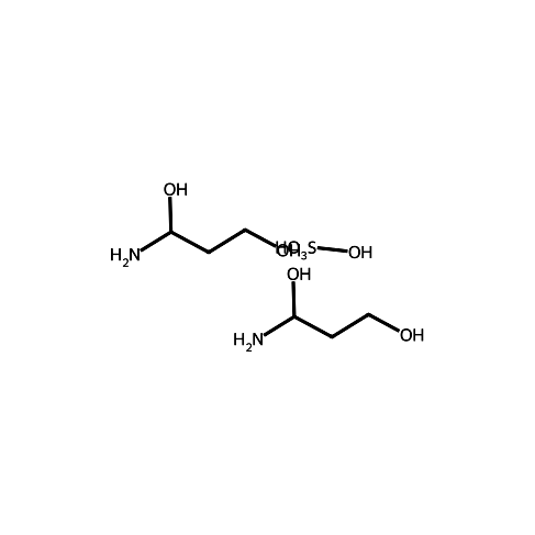 NC(O)CCO.NC(O)CCO.O=S(=O)(O)O